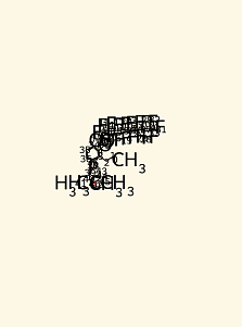 CCCc1c(OS(=O)(=O)C(F)(F)C(F)(F)C(F)(F)C(F)(F)C(F)(F)C(F)(F)C(F)(F)C(F)(F)F)cccc1P(CC(C)C)CC(C)C